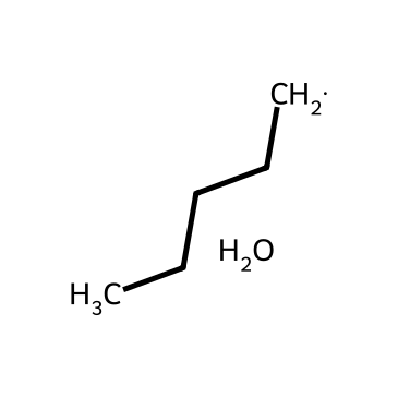 O.[CH2]CCCC